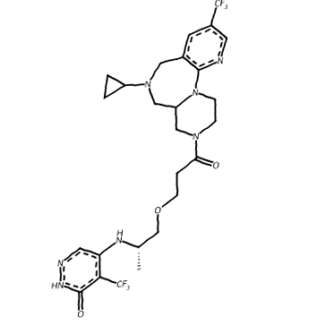 C[C@@H](COCCC(=O)N1CCN2c3ncc(C(F)(F)F)cc3CN(C3CC3)CC2C1)Nc1cn[nH]c(=O)c1C(F)(F)F